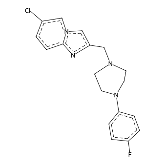 Fc1ccc(N2CCN(Cc3cn4cc(Cl)ccc4n3)CC2)cc1